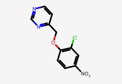 O=[N+]([O-])c1ccc(OCc2ccncn2)c(Cl)c1